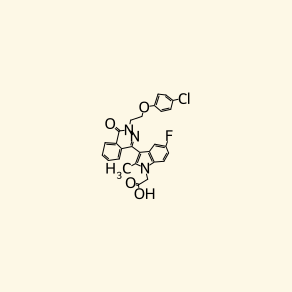 Cc1c(-c2nn(CCOc3ccc(Cl)cc3)c(=O)c3ccccc23)c2cc(F)ccc2n1CC(=O)O